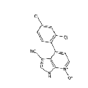 N#Cc1c[nH]c2c1c(-c1ccc(Cl)cc1Cl)cc[n+]2[O-]